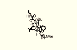 C=CCNC(=O)C(=O)C(CCCC)NC(=O)[C@@H]1C2C(CN1C(=O)[C@@H](NC(=O)N[C@H](COC)C(C)C)C1(C)CCCCC1)C2(C)C